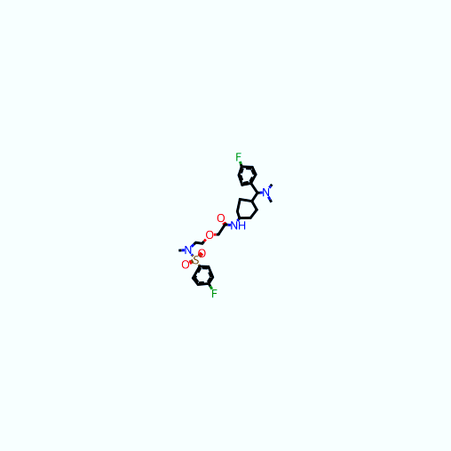 CN(C)C(c1ccc(F)cc1)C1CCC(NC(=O)COCCN(C)S(=O)(=O)c2ccc(F)cc2)CC1